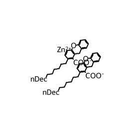 CCCCCCCCCCCCCCCCc1ccc2c(c1C(=O)[O-])Cc1ccccc1O2.CCCCCCCCCCCCCCCCc1ccc2c(c1C(=O)[O-])Cc1ccccc1O2.[Zn+2]